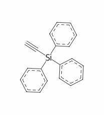 C#C[Si](c1ccccc1)(c1ccccc1)c1ccccc1